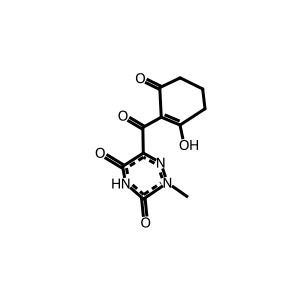 Cn1nc(C(=O)C2=C(O)CCCC2=O)c(=O)[nH]c1=O